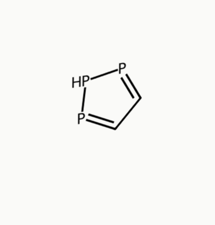 c1cp[pH]p1